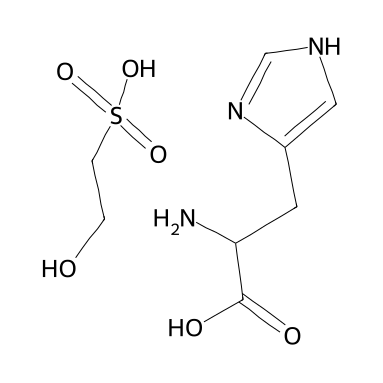 NC(Cc1c[nH]cn1)C(=O)O.O=S(=O)(O)CCO